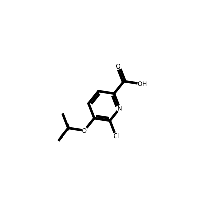 CC(C)Oc1ccc(C(=O)O)nc1Cl